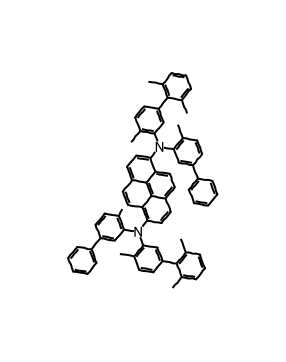 Cc1ccc(-c2ccccc2)cc1N(c1cc(-c2c(C)cccc2C)ccc1C)c1ccc2ccc3c(N(c4cc(-c5ccccc5)ccc4C)c4cc(-c5c(C)cccc5C)ccc4C)ccc4ccc1c2c43